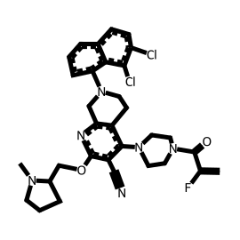 C=C(F)C(=O)N1CCN(c2c(C#N)c(OCC3CCCN3C)nc3c2CCN(c2cccc4ccc(Cl)c(Cl)c24)C3)CC1